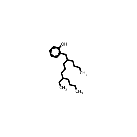 CCCCC(CC)CCCC(CCCC)Cc1ccccc1O